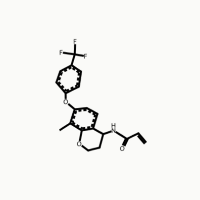 C=CC(=O)NC1CCOc2c1ccc(Oc1ccc(C(F)(F)F)cc1)c2C